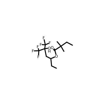 CCC(CC(O)(C(F)(F)F)C(F)(F)F)OC(=O)C(C)(C)CC